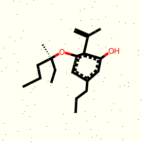 C=C(C)c1c(O)cc(CCC)cc1O[C@@](C)(CC)CCC